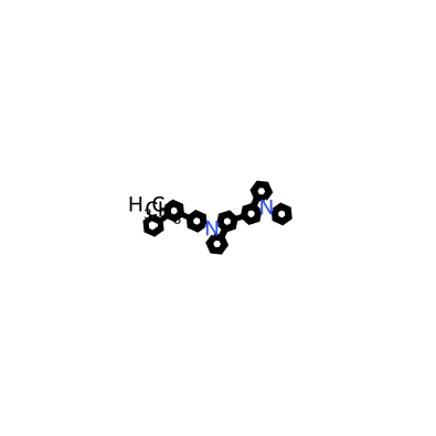 CC1=C(c2cc(-c3ccc(-n4c5ccccc5c5cc(-c6ccc7c(c6)c6ccccc6n7-c6ccccc6)ccc54)cc3)ccc2C)C=CCC1